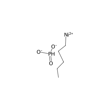 CCCC[CH2][Ni+2].O=[PH]([O-])[O-]